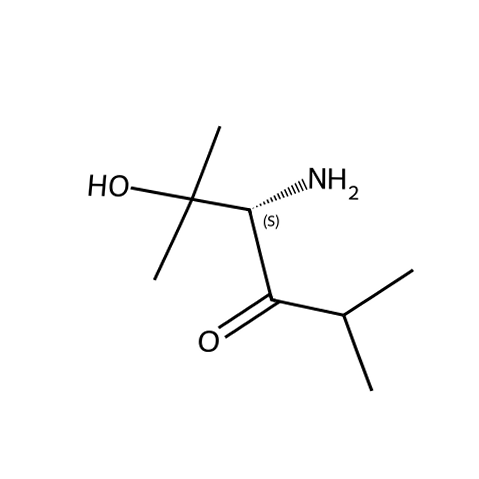 CC(C)C(=O)[C@@H](N)C(C)(C)O